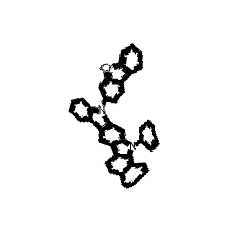 c1ccc(-n2c3cc4c(cc3c3ccc5ccccc5c32)c2ccccc2n4-c2ccc3c(c2)oc2ccccc23)cc1